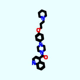 O=C(c1ccnc2ccccc12)N1CCN(c2ccc(OCCCN3CCCCC3)cc2)CC1